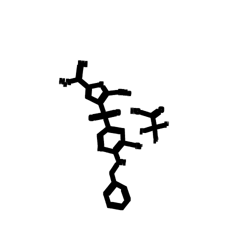 CSc1sc(C(=N)N)cc1S(=O)(=O)c1cnc(NCc2ccccc2)c(Br)c1.O=C(O)C(F)(F)F